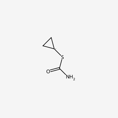 NC(=O)S[C]1CC1